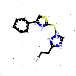 CCCc1ncn(Sc2nc(-c3ccccc3)cs2)n1